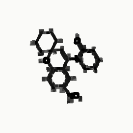 O=c1ccccn1C1=CC2(CCCCC2)Oc2ccc([N+](=O)[O-])cc21